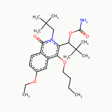 CCCCOc1c(C(OC(N)=O)C(C)(C)C)n(CC(C)(C)C)c(=O)c2ccc(OCC)cc12